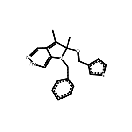 CC1=C2C=NNC=C2N(Cc2ccccc2)C1(C)OCc1ccsc1